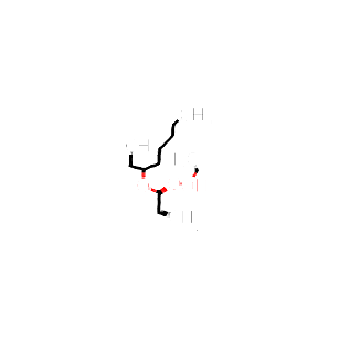 C=CC(=O)OC(CC)CCCCC.CCO